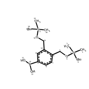 CC(C)(C)[Si](C)(C)OCc1ccc(B(O)O)cc1CO[Si](C)(C)C(C)(C)C